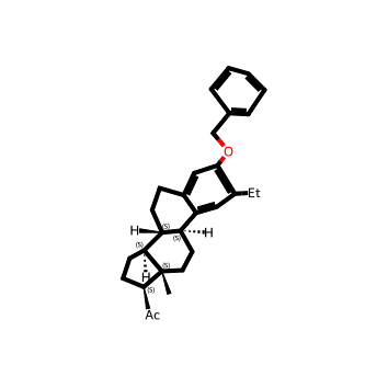 CCc1cc2c(cc1OCc1ccccc1)CC[C@@H]1[C@@H]2CC[C@]2(C)[C@@H](C(C)=O)CC[C@@H]12